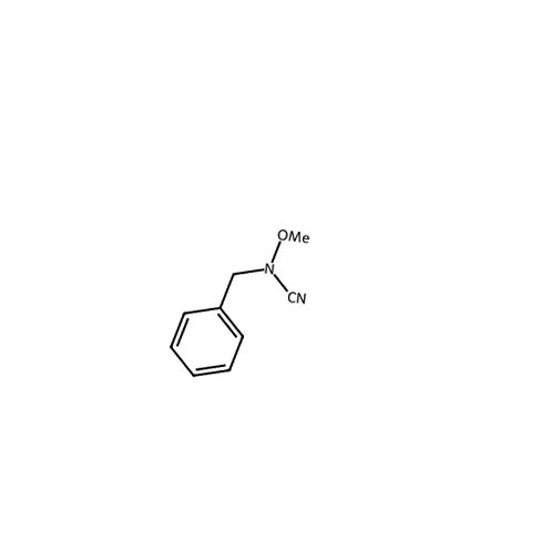 CON(C#N)Cc1ccccc1